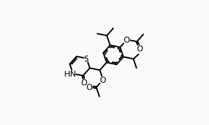 CC(=O)Oc1c(C(C)C)cc(C(OC(C)=O)C2SC=CNC2=O)cc1C(C)C